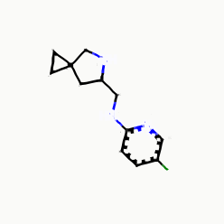 Clc1ccc(NCC2CC3(CC3)CN2)nc1